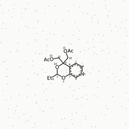 CCC1Oc2cnccc2C(COC(C)=O)(COC(C)=O)O1